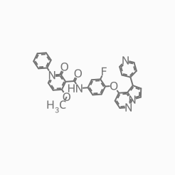 COc1ccn(-c2ccccc2)c(=O)c1C(=O)Nc1ccc(Oc2ccnn3ccc(-c4ccncc4)c23)c(F)c1